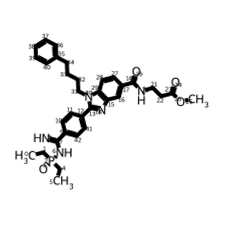 CCP(=O)(CC)NC(=N)c1ccc(-c2nc3cc(C(=O)NCCC(=O)OC)ccc3n2CCCCc2ccccc2)cc1